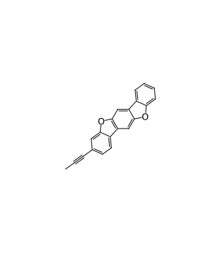 CC#Cc1ccc2c(c1)oc1cc3c(cc12)oc1ccccc13